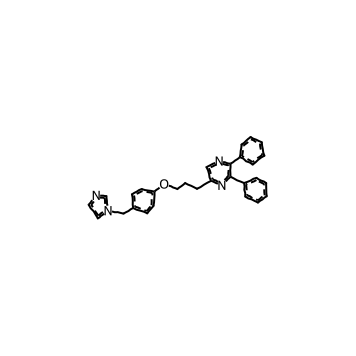 c1ccc(-c2ncc(CCCOc3ccc(Cn4ccnc4)cc3)nc2-c2ccccc2)cc1